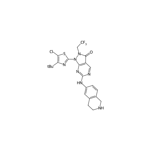 CC(C)(C)c1nc(-n2c3nc(Nc4ccc5c(c4)CCNC5)ncc3c(=O)n2CC(F)(F)F)sc1Cl